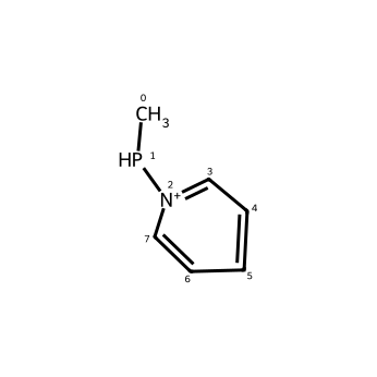 CP[n+]1ccccc1